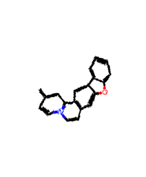 CC1=CC2c3cc4c(cc3C=CN2C=C1)oc1ccccc14